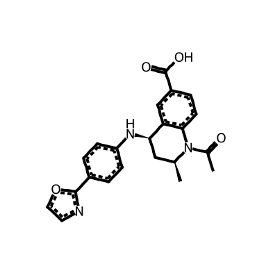 CC(=O)N1c2ccc(C(=O)O)cc2[C@H](Nc2ccc(-c3ncco3)cc2)C[C@@H]1C